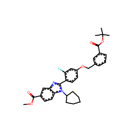 COC(=O)c1ccc2c(c1)nc(-c1ccc(OCc3cccc(C(=O)OC(C)(C)C)c3)cc1F)n2C1CCCCC1